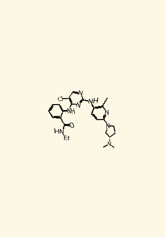 CCNC(=O)c1ccccc1Nc1nc(Nc2ccc(N3CC[C@@H](N(C)C)C3)nc2C)ncc1Cl